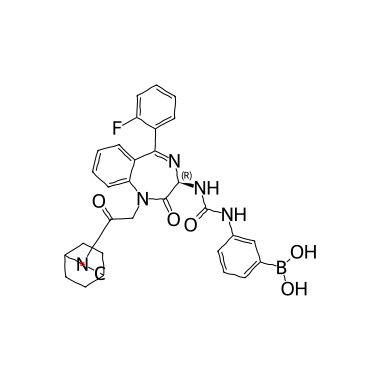 O=C(Nc1cccc(B(O)O)c1)N[C@@H]1N=C(c2ccccc2F)c2ccccc2N(CC(=O)N2CC3CCC(CC3)C2)C1=O